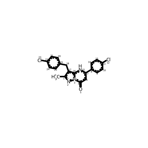 Cc1nn2c(=O)cc(-c3ccc(Cl)cc3)[nH]c2c1Cc1ccc(Cl)cc1